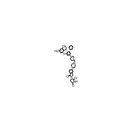 O=C1CC[C@H](N2Cc3cc(N4CCN(CC5CCN(c6ccc([C@@H]7c8ccc(O)cc8OC[C@@H]7c7ccccc7)c(F)c6)CC5)CC4)ccc3C2=O)C(=O)N1